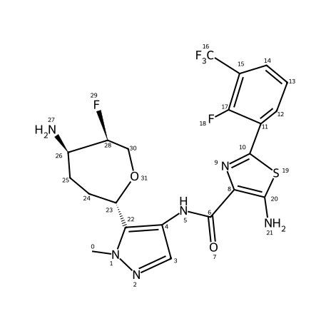 Cn1ncc(NC(=O)c2nc(-c3cccc(C(F)(F)F)c3F)sc2N)c1[C@@H]1CC[C@@H](N)[C@@H](F)CO1